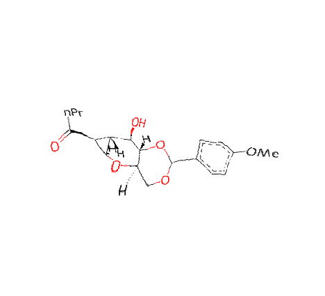 CCCC(=O)[C@@H]1[C@H]2O[C@@H]3COC(c4ccc(OC)cc4)O[C@H]3[C@H](O)[C@H]21